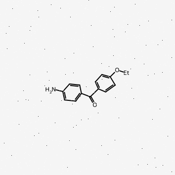 CCOc1ccc(C(=O)c2ccc(N)cc2)cc1